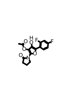 CC(=O)Oc1c(N2CCCC2=O)oc(-c2ccc(F)cc2F)c1O